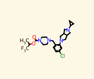 CC(OC(=O)N1CCN(Cc2ccc(Cl)cc2N2CC3CN(C4CC4)CC3C2)CC1)C(F)(F)F